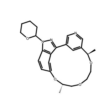 C[C@H]1COCCO[C@H](C)c2cncc(c2)-c2nn(C3CCCCO3)c3ccc(cc23)O1